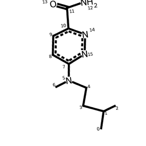 CC(C)CCN(C)c1ccc(C(N)=O)nn1